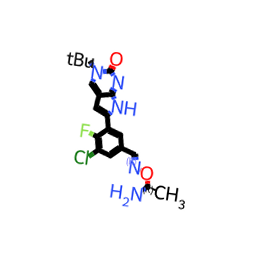 C[C@H](N)O/N=C/c1cc(Cl)c(F)c(-c2cc3cn(C(C)(C)C)c(=O)nc3[nH]2)c1